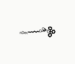 CCCCCCCCCCCCCCCCCCOC[C@@H]1C[C@@H](COC(c2ccccc2)(c2ccccc2)c2ccccc2)CO1